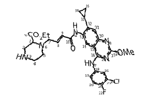 CCOC(=O)C1CNCCN1CC=CC(=O)Nc1cc2c(Nc3ccc(F)c(Cl)c3)nc(OC)nc2cc1C1CC1